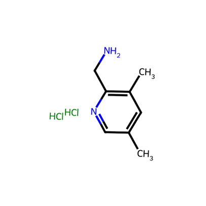 Cc1cnc(CN)c(C)c1.Cl.Cl